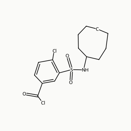 O=C(Cl)c1ccc(Cl)c(S(=O)(=O)NC2CCCCCCC2)c1